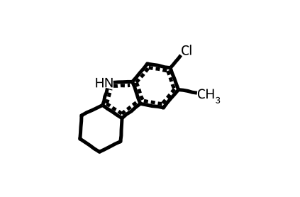 Cc1cc2c3c([nH]c2cc1Cl)CCCC3